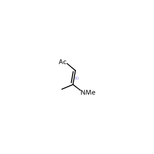 CN/C(C)=C/C(C)=O